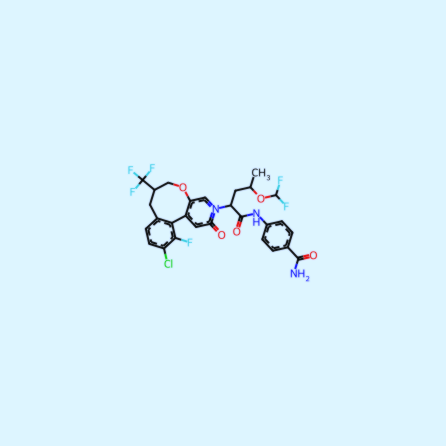 CC(CC(C(=O)Nc1ccc(C(N)=O)cc1)n1cc2c(cc1=O)-c1c(ccc(Cl)c1F)CC(C(F)(F)F)CO2)OC(F)F